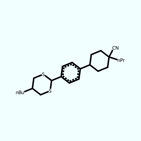 CCCCC1CSC(c2ccc(C3CCC(C#N)(CCC)CC3)cc2)SC1